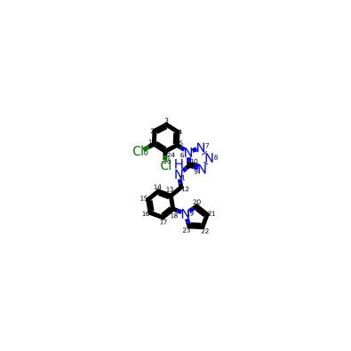 Clc1cccc(-n2nnnc2NCc2ccccc2-n2cccc2)c1Cl